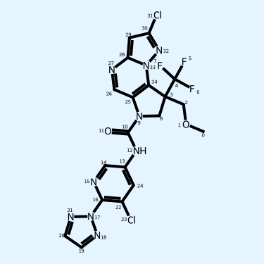 COCC1(C(F)(F)F)CN(C(=O)Nc2cnc(-n3nccn3)c(Cl)c2)c2cnc3cc(Cl)nn3c21